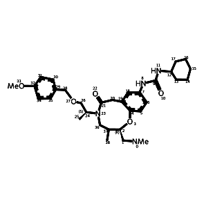 CNC[C@@H]1Oc2ccc(NC(=O)NC3CCCCC3)cc2CC(=O)N([C@@H](C)COCc2ccc(OC)cc2)CC1C